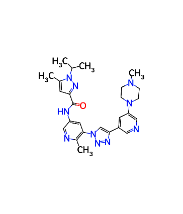 Cc1ncc(NC(=O)c2cc(C)n(C(C)C)n2)cc1-n1cc(-c2cncc(N3CCN(C)CC3)c2)nn1